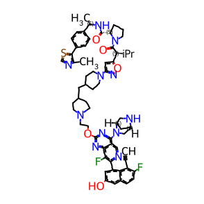 C#Cc1c(F)ccc2cc(O)cc(-c3ncc4c(N5C[C@@H]6C[C@H]5CN6)nc(OCCN5CCC(CC6CCN(c7cc([C@@H](C(=O)N8CCC[C@H]8C(=O)N[C@@H](C)c8ccc(-c9scnc9C)cc8)C(C)C)on7)CC6)CC5)nc4c3F)c12